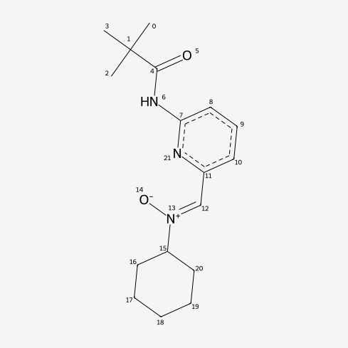 CC(C)(C)C(=O)Nc1cccc(/C=[N+](\[O-])C2CCCCC2)n1